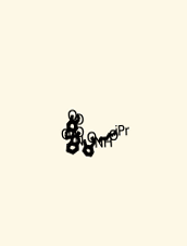 CC(C)OCCCNC(=O)c1ccccc1CN1C(=O)C2(COc3cc4c(cc32)OCO4)c2ccccc21